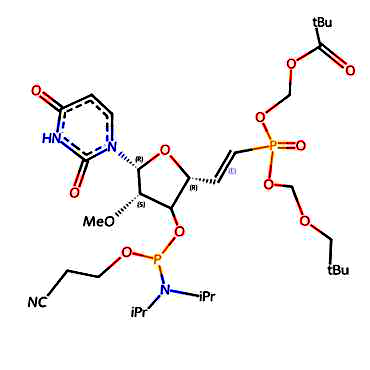 CO[C@H]1C(OP(OCCC#N)N(C(C)C)C(C)C)[C@@H](/C=C/P(=O)(OCOCC(C)(C)C)OCOC(=O)C(C)(C)C)O[C@H]1n1ccc(=O)[nH]c1=O